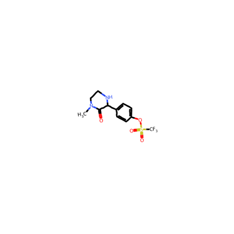 CN1CCNC(c2ccc(OS(=O)(=O)C(F)(F)F)cc2)C1=O